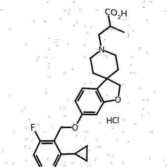 CC(CN1CCC2(CC1)COc1cc(OCc3c(F)cccc3C3CC3)ccc12)C(=O)O.Cl